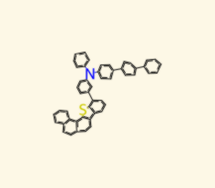 c1ccc(-c2ccc(-c3ccc(N(c4ccccc4)c4cccc(-c5cccc6c5sc5c6ccc6ccc7ccccc7c65)c4)cc3)cc2)cc1